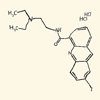 CCN(CC)CCNC(=O)c1cccc2cc3cc(I)ccc3nc12.Cl.Cl